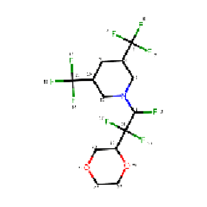 FC(N1CC(C(F)(F)F)CC(C(F)(F)F)C1)C(F)(F)C1COCCO1